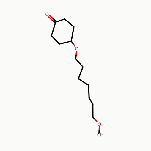 COCCCCCCCOC1CCC(=O)CC1